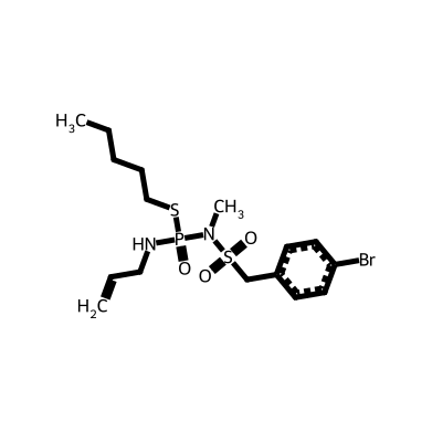 C=CCNP(=O)(SCCCCC)N(C)S(=O)(=O)Cc1ccc(Br)cc1